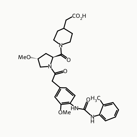 COc1cc(CC(=O)N2C[C@H](OC)C[C@H]2C(=O)N2CCC(CC(=O)O)CC2)ccc1NC(=O)Nc1ccccc1C